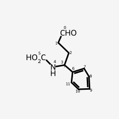 O=CCC[C](NC(=O)O)c1ccccc1